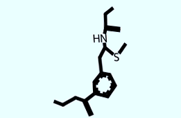 C=C(CC)NC(Cc1cccc(C(=C)CCC)c1)SC